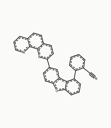 N#Cc1ccccc1-c1cccc2oc3ccc(-c4ccc5ccc6cccnc6c5n4)cc3c12